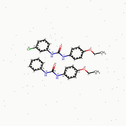 CCOc1ccc(NC(=O)Nc2cccc(Cl)c2)cc1.CCOc1ccc(NC(=O)Nc2ccccc2)cc1